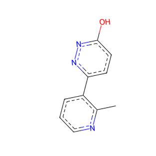 Cc1ncccc1-c1ccc(O)nn1